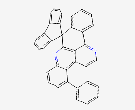 c1ccc(-c2cccc3nc4c5c(nccc5c23)-c2ccccc2C42c3ccccc3-c3ccccc32)cc1